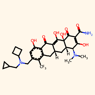 CN(C)[C@@H]1C(O)=C(C(N)=O)C(=O)[C@@]2(O)C(O)=C3C(=O)c4c(O)cc(CN(CC5CC5)C5CCC5)c(C(F)(F)F)c4C[C@H]3C[C@@H]12